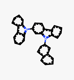 c1ccc2cc(-n3c4ccccc4c4ccc(-n5c6ccccc6c6ccccc65)cc43)ccc2c1